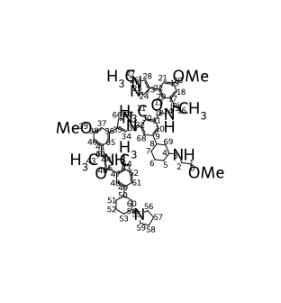 COCCNC1CCCC(c2cc(C(=O)N[C@H](C)c3cc(OC)cc(-c4cnn(C)c4)c3)c(C)c(-n3cc(-c4cc(OC)cc([C@@H](C)NC(=O)c5cc(C6CCCC(N7CCCC7)C6)ccc5C)c4)cn3)c2)C1